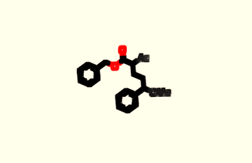 COC(CCC(C(C)=O)C(=O)OCc1ccccc1)c1ccccc1